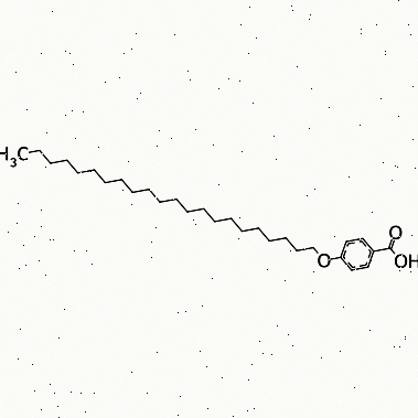 CCCCCCCCCCCCCCCCCCCCCCOc1ccc(C(=O)O)cc1